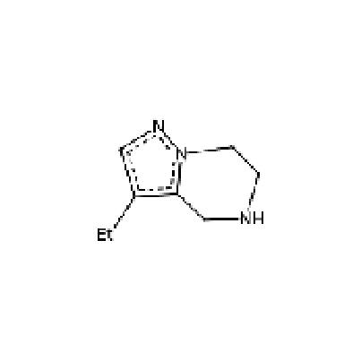 CCc1cnn2c1CNCC2